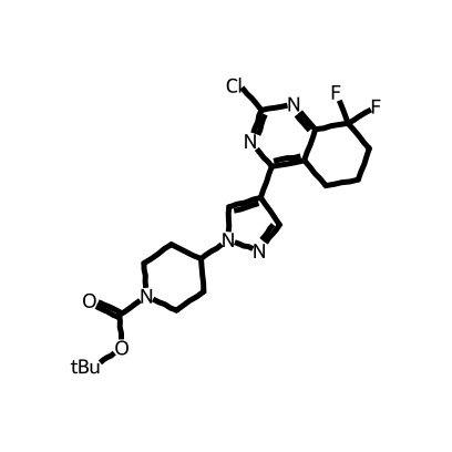 CC(C)(C)OC(=O)N1CCC(n2cc(-c3nc(Cl)nc4c3CCCC4(F)F)cn2)CC1